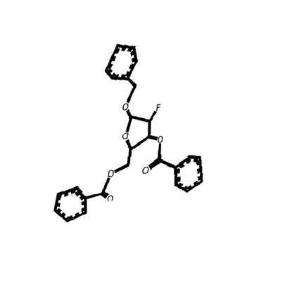 O=C(OCC1OC(OCc2ccccc2)C(F)C1OC(=O)c1ccccc1)c1ccccc1